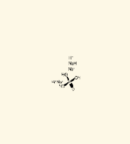 O=P(O)(O)O.[H+].[H+].[Na+].[Na+].[NaH]